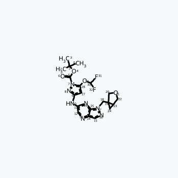 CC(C)(C)OC(=O)n1nc(Nc2cnc3cnn(CC45COCC4C5)c3n2)cc1OC(F)F